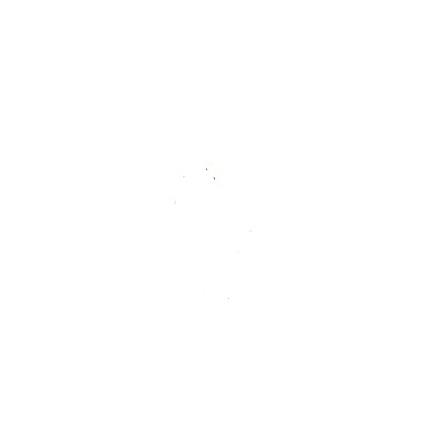 CCN1CCc2c1ccc1c2CCC1(C)C